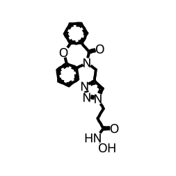 O=C(CCn1cc(CN2C(=O)c3ccccc3Oc3ccccc32)nn1)NO